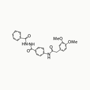 COc1ccc(CC(=O)Nc2ccc(C(=O)NNC(=O)c3ccccc3)cc2)cc1OC